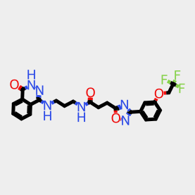 O=C(CCc1nc(-c2cccc(OCC(F)(F)F)c2)no1)NCCCNc1n[nH]c(=O)c2ccccc12